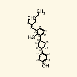 CCCCC(CC)Cc1cccc(C2CCC(c3ccc(O)cc3)CC2)c1O